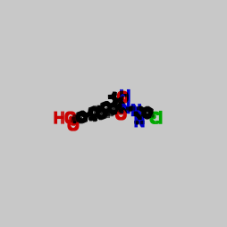 CC(C)C1=C2C3CCC4[C@@]5(C)CC=C(C6=CC[C@@H](C(=O)O)CC6)C(C)(C)C5CC[C@@]4(C)[C@]3(C)CC[C@@]2(C(=O)NCCN(CCN(C)C)Cc2ccc(Cl)cc2)CC1=O